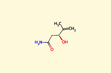 C=C(C)[C@@H](O)CC(N)=O